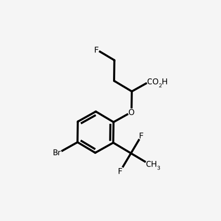 CC(F)(F)c1cc(Br)ccc1OC(CCF)C(=O)O